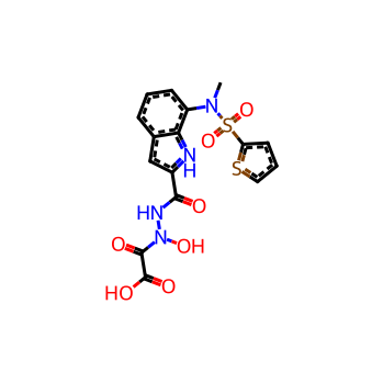 CN(c1cccc2cc(C(=O)NN(O)C(=O)C(=O)O)[nH]c12)S(=O)(=O)c1cccs1